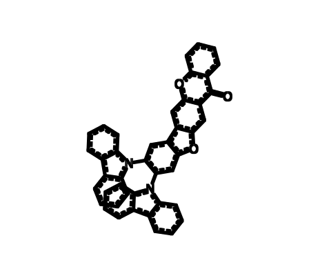 O=c1c2ccccc2oc2cc3c(cc12)oc1cc(-n2c4ccccc4c4ccccc42)c(-n2c4ccccc4c4ccccc42)cc13